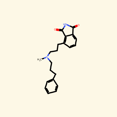 CN(CCCc1ccccc1)CCCc1cccc2c1C(=O)NC2=O